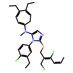 C/C=C\C(F)=C(/CF)CSc1ncc(N(C)C2=CC=C(CC)C(CC)=CC2)n1-c1ccc(F)c(CC)c1